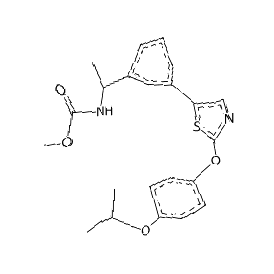 COC(=O)NC(C)c1cccc(-c2cnc(Oc3ccc(OC(C)C)cc3)s2)c1